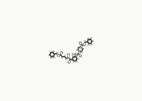 O=C(CCCNC(=O)c1cccc(NC(=O)N2CCN(C(=O)OCc3ccccc3)CC2)c1)OCc1ccccc1